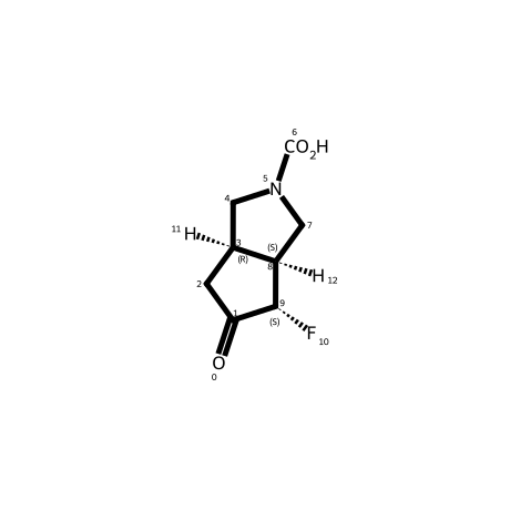 O=C1C[C@H]2CN(C(=O)O)C[C@H]2[C@@H]1F